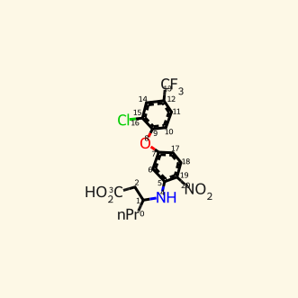 CCCC(CC(=O)O)Nc1cc(Oc2ccc(C(F)(F)F)cc2Cl)ccc1[N+](=O)[O-]